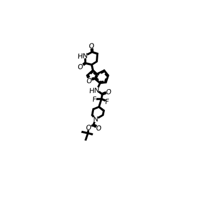 CC(C)(C)OC(=O)N1CCC(C(F)(F)C(=O)Nc2cccc3c(C4CCC(=O)NC4=O)coc23)CC1